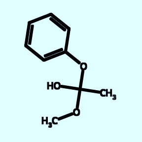 COC(C)(O)Oc1ccccc1